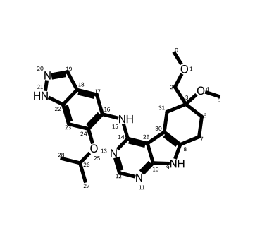 COCC1(OC)CCc2[nH]c3ncnc(Nc4cc5cn[nH]c5cc4OC(C)C)c3c2C1